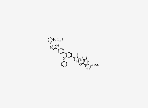 COC(=O)N[C@H](C(=O)N1CCC[C@H]1c1ncc(-c2ccc(-c3ccc(-c4cnc([C@@H]5CCCN5C(=O)O)[nH]4)cc3)c(Sc3ccccc3)c2)[nH]1)C(C)C